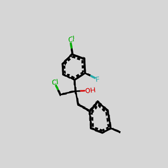 Cc1ccc(CC(O)(CCl)c2ccc(Cl)cc2F)cc1